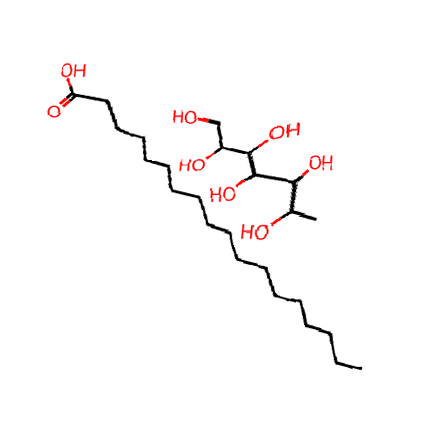 CC(O)C(O)C(O)C(O)C(O)CO.CCCCCCCCCCCCCCCCCC(=O)O